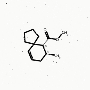 COC(=O)[C@@H]1[C@@H](C)CC=CC12CCCC2